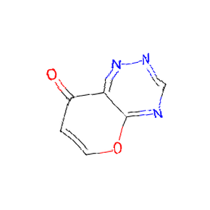 O=c1ccoc2ncnnc12